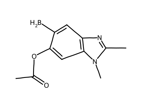 Bc1cc2nc(C)n(C)c2cc1OC(C)=O